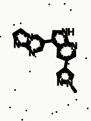 Cn1cc(-c2cnc3[nH]cc(-c4cnc5nccn5c4)c3c2)cn1